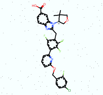 CC1(C)COC[C@H]1n1c(Cc2c(F)cc(-c3cccc(OCc4ccc(Cl)cc4F)n3)c(F)c2F)nc2ccc(C(=O)O)cc21